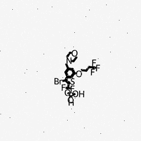 O=[PH](O)OC(F)(F)c1sc2c(OCCCC(F)(F)F)cc(CN3CCOCC3)cc2c1Br